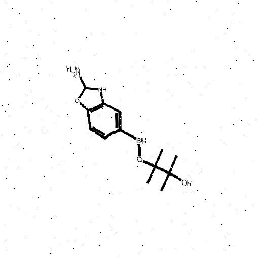 CC(C)(O)C(C)(C)OBc1ccc2c(c1)NC(N)O2